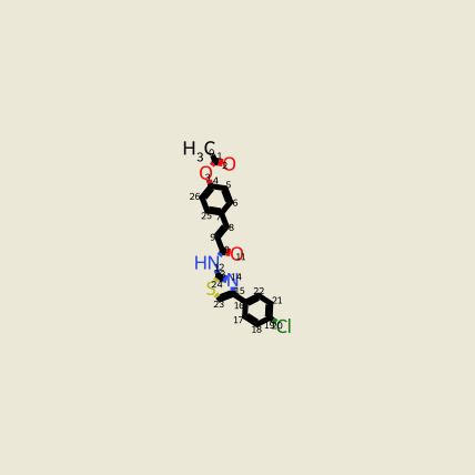 CC(=O)Oc1ccc(/C=C/C(=O)Nc2nc(-c3ccc(Cl)cc3)cs2)cc1